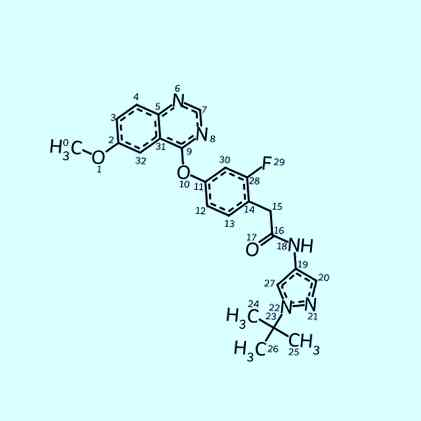 COc1ccc2ncnc(Oc3ccc(CC(=O)Nc4cnn(C(C)(C)C)c4)c(F)c3)c2c1